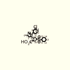 Cc1cc(N2C[C@H](S(=O)(=O)c3ccccc3)C[C@H]2C(=O)O)n(-c2ccnc(Cl)c2)n1